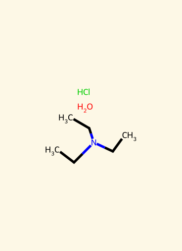 CCN(CC)CC.Cl.O